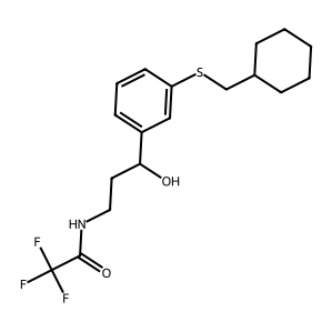 O=C(NCCC(O)c1cccc(SCC2CCCCC2)c1)C(F)(F)F